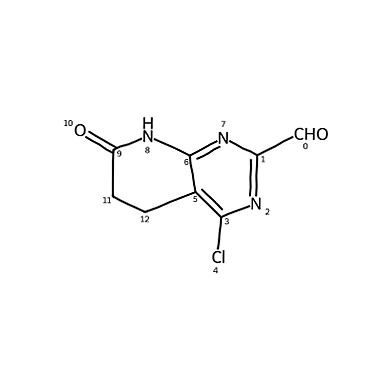 O=Cc1nc(Cl)c2c(n1)NC(=O)CC2